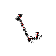 O=C(NCC(=O)N1CC[C@H](NC2CCC(O)(c3ccc(-c4ncccn4)cn3)CC2)C1)c1cc(OCCOCCOCCOCCOCCOCCOCCOCCOCCOCCNc2ccc([N+](=O)[O-])cc2[N+](=O)[O-])cc(C(F)(F)F)c1